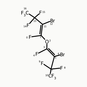 FC(OC(F)=C(Br)C(F)(F)C(F)(F)F)=C(Br)C(F)(F)C(F)(F)F